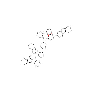 c1ccc(-c2ccccc2N(c2ccc(-c3ccc4c(c3)C3(c5ccccc5-4)c4ccc5ccccc5c4Oc4c3ccc3ccccc43)cc2)c2ccc(-c3ccc4c(c3)sc3ccccc34)cc2)cc1